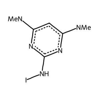 CNc1cc(NC)nc(NI)n1